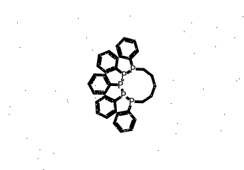 c1ccc(P2CCCCCP(c3ccccc3)P(c3ccccc3)P(c3ccccc3)P2c2ccccc2)cc1